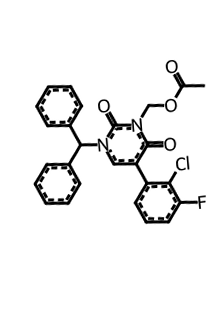 CC(=O)OCn1c(=O)c(-c2cccc(F)c2Cl)cn(C(c2ccccc2)c2ccccc2)c1=O